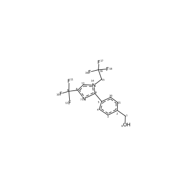 OCc1ccc(-c2nc(C(F)(F)F)cn2CC(F)(F)F)cc1